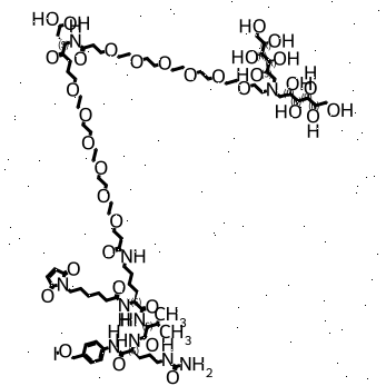 CC(C)[C@H](NC(=O)[C@H](CCCCNC(=O)CCOCCOCCOCCOCCOCCOCCCC(=O)[C@H](CC(O)O)NC(=O)CCOCCOCCOCCOCCOCCOCCN(C[C@H](O)[C@@H](O)[C@H](O)[C@H](O)CO)C[C@H](O)[C@@H](O)[C@H](O)[C@H](O)CO)NC(=O)CCCCCN1C(=O)C=CC1=O)C(=O)N[C@@H](CCCNC(N)=O)C(=O)Nc1ccc(COI)cc1